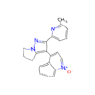 Cc1cccc(-c2nn3c(c2-c2cc[n+]([O-])c4ccccc24)CCC3)n1